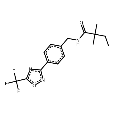 CCC(C)(C)C(=O)NCc1ccc(-c2noc(C(F)(F)F)n2)cc1